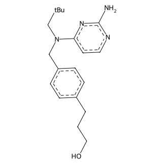 CC(C)(C)CN(Cc1ccc(CCCO)cc1)c1ccnc(N)n1